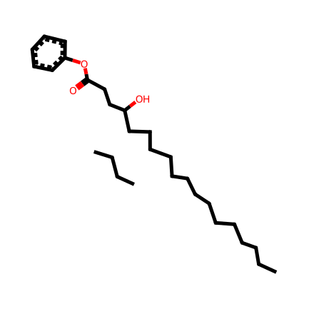 CCCC.CCCCCCCCCCCCCCC(O)CCC(=O)Oc1ccccc1